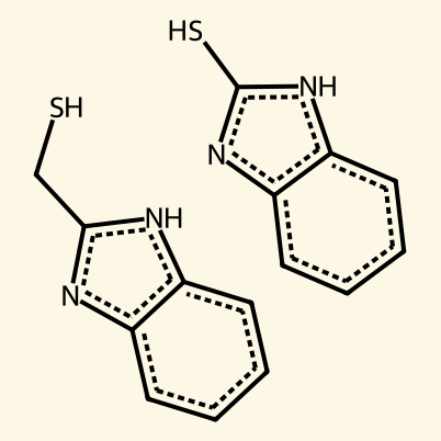 SCc1nc2ccccc2[nH]1.Sc1nc2ccccc2[nH]1